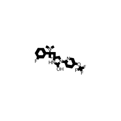 CN(C)[C@]1(c2cccc(F)c2)C[C@@]2(CN(c3ccc(OC(F)(F)F)cn3)C(O)N2)C1